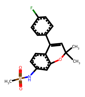 CC1(C)C=C(c2ccc(F)cc2)c2ccc(NS(C)(=O)=O)cc2O1